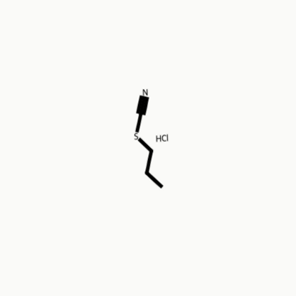 CCCSC#N.Cl